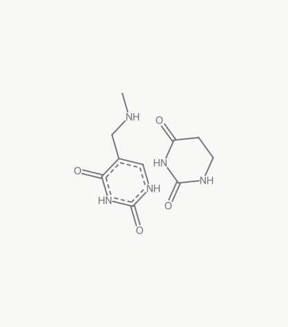 CNCc1c[nH]c(=O)[nH]c1=O.O=C1CCNC(=O)N1